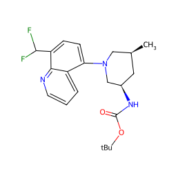 C[C@H]1C[C@@H](NC(=O)OC(C)(C)C)CN(c2ccc(C(F)F)c3ncccc23)C1